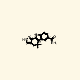 CC1(C)Cc2c[nH]nc2-c2[nH]c3ccc(C(N)=O)cc3c21